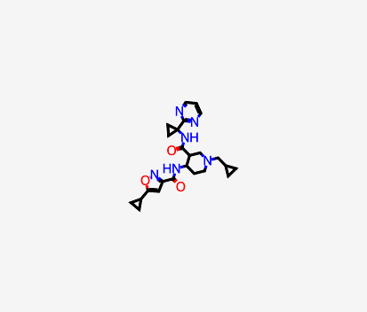 O=C(NC1CCN(CC2CC2)CC1C(=O)NC1(c2ncccn2)CC1)c1cc(C2CC2)on1